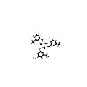 CCC(C)(C)c1cc(Cn2c(=O)n(Cc3cc(C(C)(C)C)c(O)c(C(C)(C)CC)c3)c(=O)n(Cc3cc(C(C)(C)C)c(O)c(C(C)(C)CC)c3)c2=O)cc(C(C)(C)C)c1O